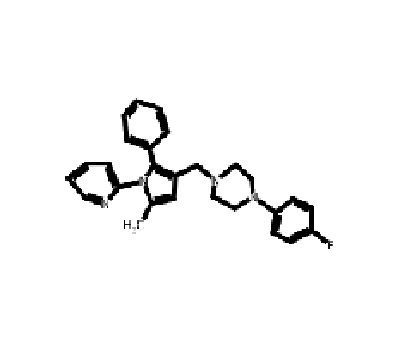 Cc1cc(CN2CCN(c3ccc(F)cc3)CC2)c(-c2ccccc2)n1-c1ccccn1